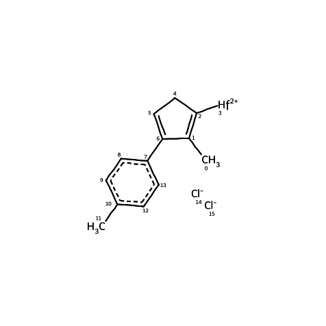 CC1=[C]([Hf+2])CC=C1c1ccc(C)cc1.[Cl-].[Cl-]